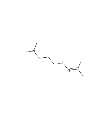 CC(C)=NOCCCN(C)C